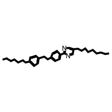 CCCCCCCCCc1cnc(-c2ccc(CCc3ccc(CCCCCCC)cc3)cc2)nc1